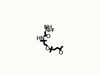 CC(=O)CCC(C)(C)OCCC(C)(C)NC(=O)CNN